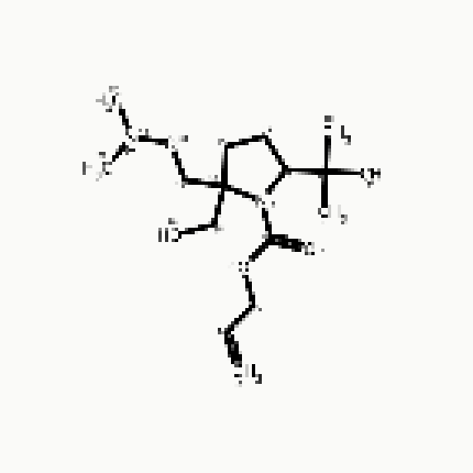 C=CCOC(=O)N1C(C(C)(C)C)CCC1(CO)CO[SiH](C)C